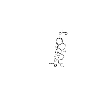 C=C=C[C@]1(OC(C)=O)CC[C@H]2[C@@H]3CCc4cc(OC(C)=O)ccc4[C@H]3CC[C@@]21C